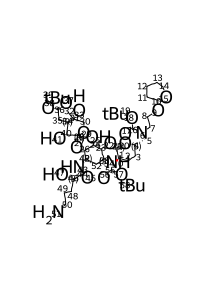 CC1CC[C@@H](CN(CCOC2CCCCO2)C(=O)OC(C)(C)C)O[C@@H]1OC1C(O)C(O[C@H]2OCC(C)(O)[C@H](CC(=O)OC(C)(C)C)C2O)[C@H](NC(=O)[C@@H](O)CCCN)C[C@@H]1NC(=O)OC(C)(C)C